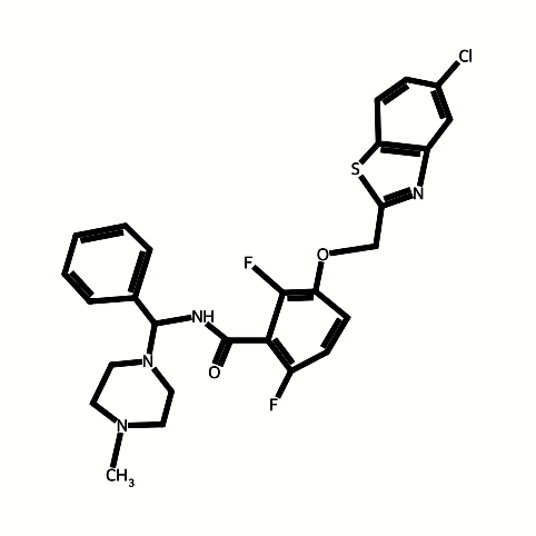 CN1CCN(C(NC(=O)c2c(F)ccc(OCc3nc4cc(Cl)ccc4s3)c2F)c2ccccc2)CC1